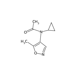 CC(=O)N(c1cnoc1C)C1CC1